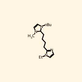 CCCCN1C=CN(C)C1CCCCc1nccn1CC